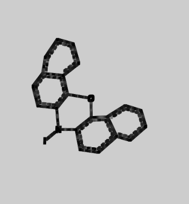 IN1c2ccc3ccccc3c2Oc2c1ccc1ccccc21